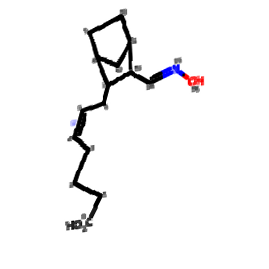 O=C(O)CCC/C=C\CC1C2CCC(C2)C1C=NO